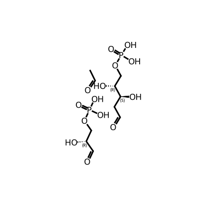 CC=O.O=CC[C@H](O)[C@H](O)COP(=O)(O)O.O=C[C@H](O)COP(=O)(O)O